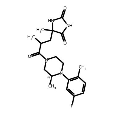 Cc1ccc(F)cc1N1CCN(C(=O)C(C)CC2(C)NC(=O)NC2=O)C[C@@H]1C